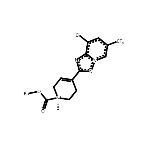 CC(C)(C)OC(=O)[N@@+]1(C)CC=C(c2nc3c(Cl)cc(C(F)(F)F)cn3n2)CC1